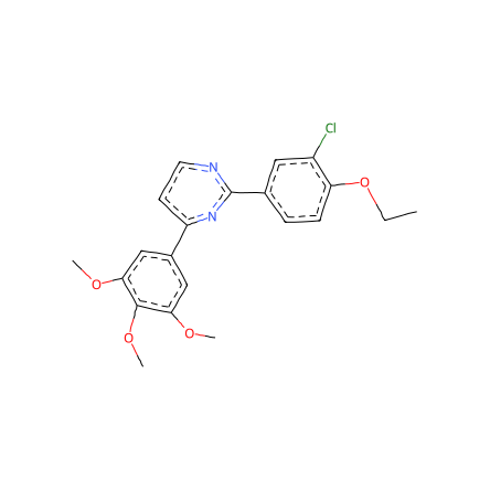 CCOc1ccc(-c2nccc(-c3cc(OC)c(OC)c(OC)c3)n2)cc1Cl